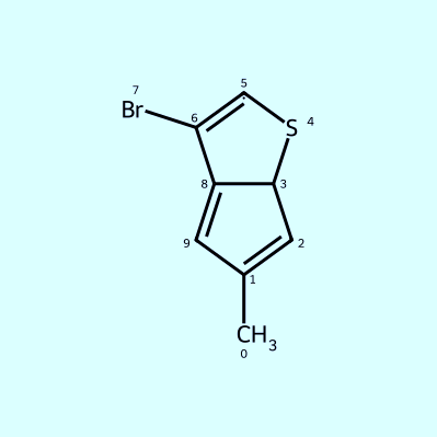 CC1=CC2S[C]=C(Br)C2=C1